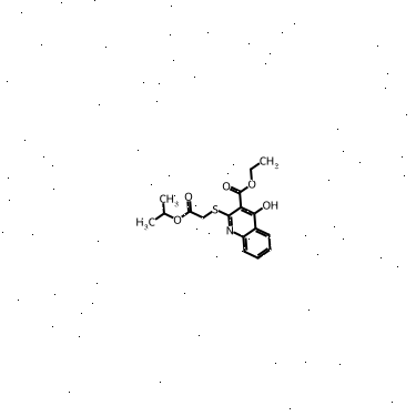 CCOC(=O)c1c(SCC(=O)OC(C)C)nc2ccccc2c1O